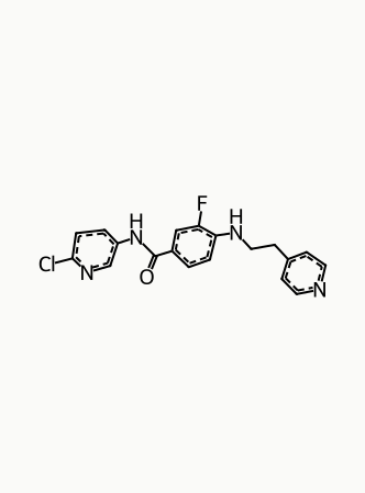 O=C(Nc1ccc(Cl)nc1)c1ccc(NCCc2ccncc2)c(F)c1